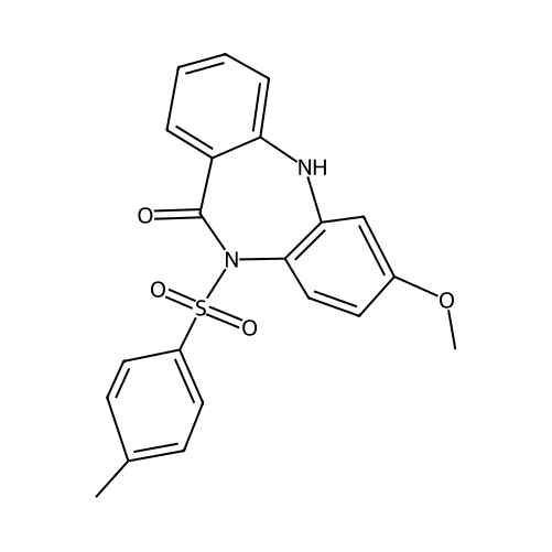 COc1ccc2c(c1)Nc1ccccc1C(=O)N2S(=O)(=O)c1ccc(C)cc1